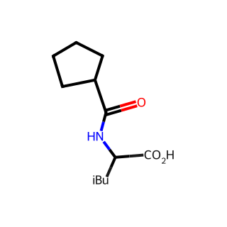 CCC(C)C(NC(=O)C1CCCC1)C(=O)O